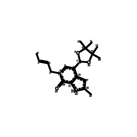 C/C=C/Cn1cc(B2OC(C)(C)C(C)(C)O2)c2cc(C)[nH]c2c1=O